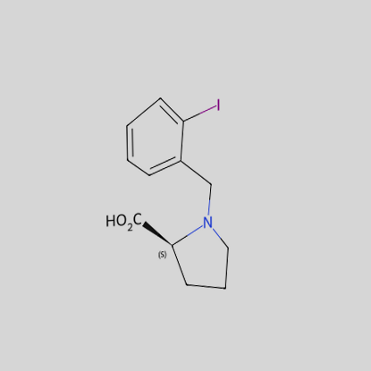 O=C(O)[C@@H]1CCCN1Cc1ccccc1I